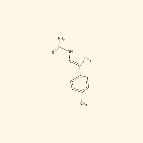 CC(=NNC(N)=S)c1ccc(C)cc1